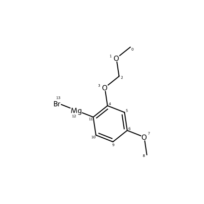 COCOc1cc(OC)cc[c]1[Mg][Br]